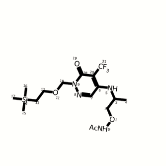 CC(=O)NOCC(C)Nc1cnn(COCC[Si](C)(C)C)c(=O)c1C(F)(F)F